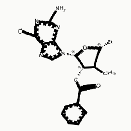 CC[C@H]1O[C@@H](n2cnc3c(Cl)nc(N)nc32)[C@@H](OC(=O)c2ccccc2)C1C